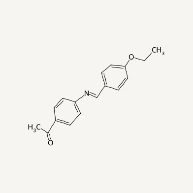 CCOc1ccc(C=Nc2ccc(C(C)=O)cc2)cc1